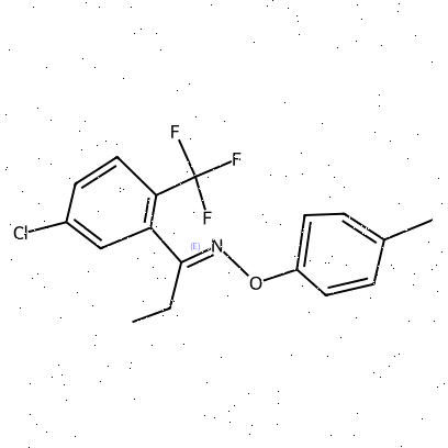 CC/C(=N\Oc1ccc(C)cc1)c1cc(Cl)ccc1C(F)(F)F